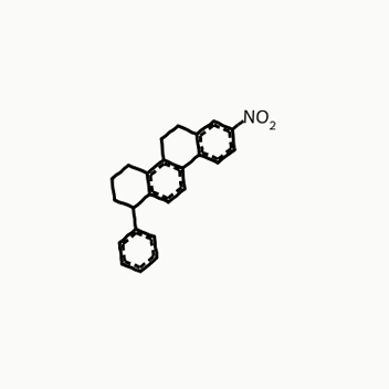 O=[N+]([O-])c1ccc2c(c1)CCc1c-2ccc2c1CCCC2c1ccccc1